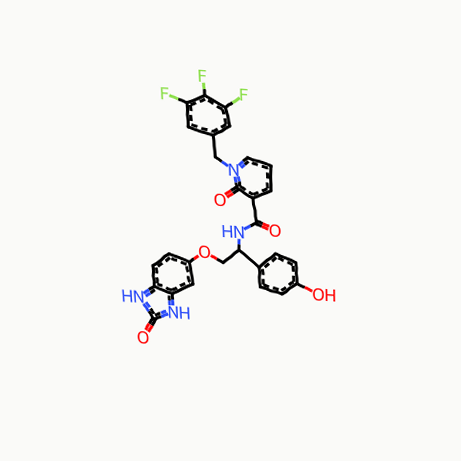 O=C(NC(COc1ccc2[nH]c(=O)[nH]c2c1)c1ccc(O)cc1)c1cccn(Cc2cc(F)c(F)c(F)c2)c1=O